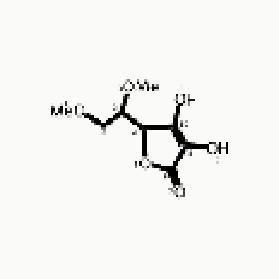 COCC(OC)C1OC(=O)C(O)=C1O